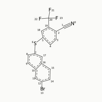 N#Cc1ccc(Sc2ccc3cc(Br)ccc3c2)cc1C(F)(F)F